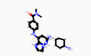 CN(C)C(=O)c1ccc(Nc2cc(N[C@H]3CC[C@H](N)CC3)nn3ccnc23)cc1